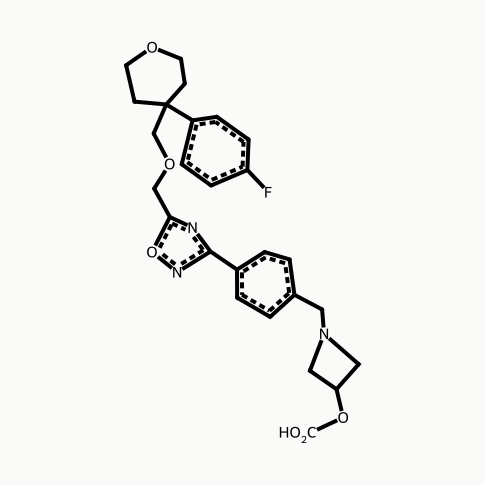 O=C(O)OC1CN(Cc2ccc(-c3noc(COCC4(c5ccc(F)cc5)CCOCC4)n3)cc2)C1